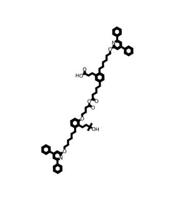 CC(C)(O)CCc1c(CCCCCCOc2cc(-c3ccccc3)cc(-c3ccccc3)n2)cccc1OCCCC(=O)OC(=O)CCCCc1ccc(CCCCCCOc2cc(-c3ccccc3)cc(-c3ccccc3)n2)c(CCC(=O)O)c1